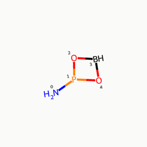 NP1OBO1